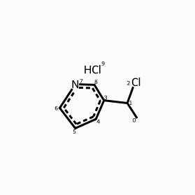 CC(Cl)c1cccnc1.Cl